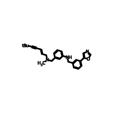 CN(C/C=C/C#CC(C)(C)C)Cc1cccc(NCc2cccc(-c3cnco3)c2)c1